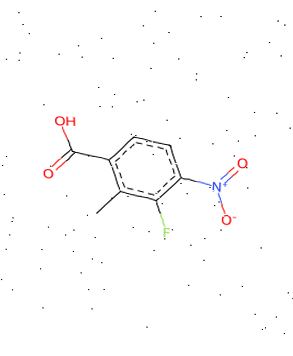 Cc1c(C(=O)O)ccc([N+](=O)[O-])c1F